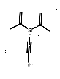 C=C(C)[SiH](C#CC(C)C)C(=C)C